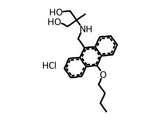 CCCCOc1c2ccccc2c(CNC(C)(CO)CO)c2ccccc12.Cl